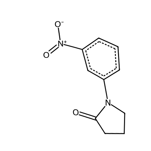 O=C1CCCN1c1cccc([N+](=O)[O-])c1